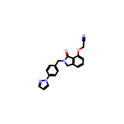 N#CCOc1cccc2c1C(=O)N(Cc1ccc(-n3cccn3)cc1)C2